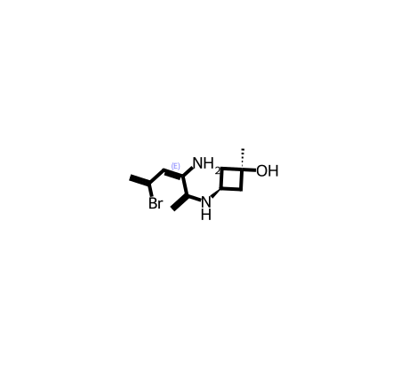 C=C(Br)/C=C(/N)C(=C)N[C@H]1C[C@@](C)(O)C1